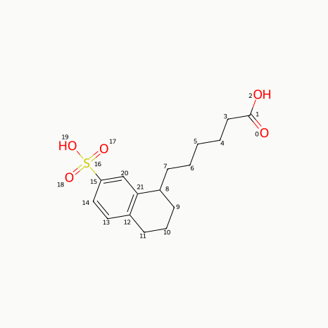 O=C(O)CCCCCC1CCCc2ccc(S(=O)(=O)O)cc21